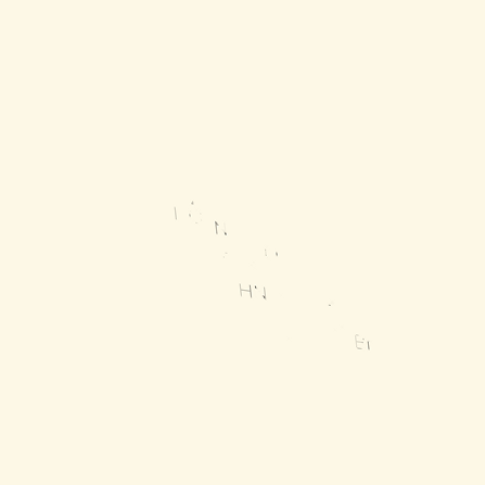 O=C(C=NO)Nc1ccc(Br)cc1